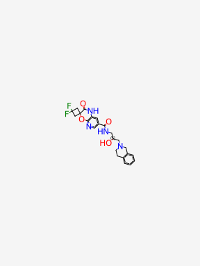 O=C(NC[C@H](O)CN1CCc2ccccc2C1)c1cnc2c(c1)NC(=O)C1(CC(F)(F)C1)O2